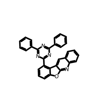 c1ccc(-c2nc(-c3ccccc3)nc(-c3cccc4oc5nc6ccccc6cc5c34)n2)cc1